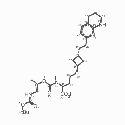 C[C@H](CNC(=O)OC(C)(C)C)OC(=O)NC(CCO[C@H]1C[C@H](CCc2ccc3c(n2)NCCC3)C1)C(=O)O